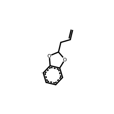 C=CCC1Oc2[c]cccc2O1